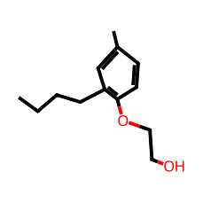 CCCCc1cc(C)ccc1OCCO